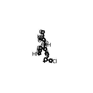 CC1(C)CCC(CN2CCN(c3ccc(C(=O)NS(=O)(=O)c4ccc(NCC5CCCOC5)c([N+](=O)[O-])c4)c(N4CCOc5nc6[nH]ccc6cc54)c3)CC2)=C(c2ccc(Cl)cc2)C1